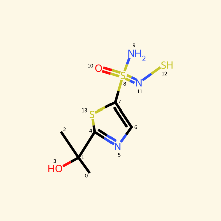 CC(C)(O)c1ncc(S(N)(=O)=NS)s1